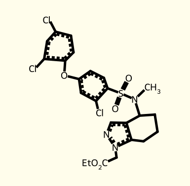 CCOC(=O)Cn1ncc2c1CCCC2N(C)S(=O)(=O)c1ccc(Oc2ccc(Cl)cc2Cl)cc1Cl